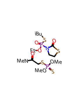 CCOP(=O)(SC(C)CC)N1CCSC1=O.CNC(=O)CSP(=S)(OC)OC